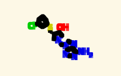 Nc1ncnc2c1ncn2CN1C[C@H](CSc2cccc(Cl)c2)[C@@H](O)C1